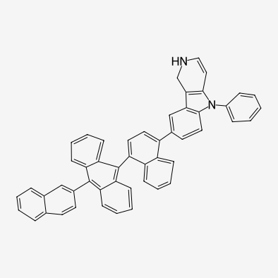 C1=Cc2c(c3cc(-c4ccc(-c5c6ccccc6c(-c6ccc7ccccc7c6)c6ccccc56)c5ccccc45)ccc3n2-c2ccccc2)CN1